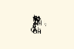 CC(C)(C)n1nc(-c2cc3ccc(NC(=O)O)cc3[nH]2)c2c(N)cncc21